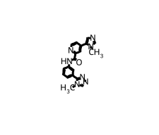 Cn1cncc1-c1ccnc(C(=O)Nc2cccc(-c3nncn3C)c2)c1